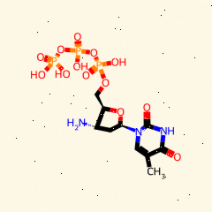 Cc1cn([C@H]2C[C@H](N)[C@@H](COP(=O)(O)OP(=O)(O)OP(=O)(O)O)O2)c(=O)[nH]c1=O